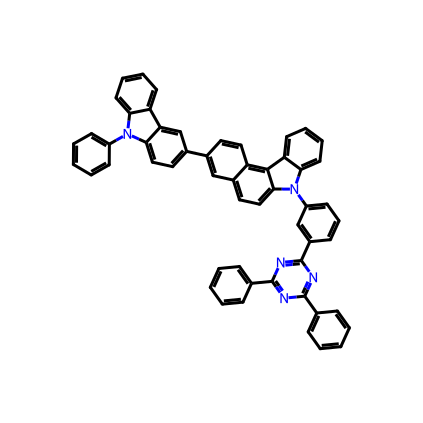 c1ccc(-c2nc(-c3ccccc3)nc(-c3cccc(-n4c5ccccc5c5c6ccc(-c7ccc8c(c7)c7ccccc7n8-c7ccccc7)cc6ccc54)c3)n2)cc1